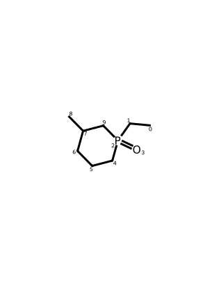 CCP1(=O)CCCC(C)C1